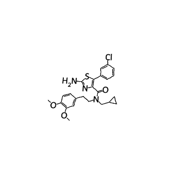 COc1ccc(CCN(CC2CC2)C(=O)c2nc(N)sc2-c2cccc(Cl)c2)cc1OC